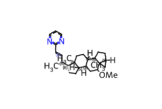 COC1C[C@H]2[C@@H]3CC[C@H]([C@H](C)/C=C/c4ncccn4)[C@@]3(C)CC[C@@H]2[C@@]2(C)CC[C@@H]3CC132